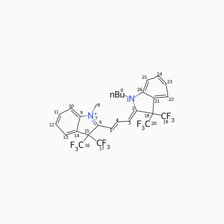 CCCCN1C(=CC=CC2=[N+](C)c3ccccc3C2(C(F)(F)F)C(F)(F)F)C(C(F)(F)F)(C(F)(F)F)c2ccccc21